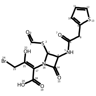 O=CSC1C(NC(=O)Cc2cccs2)C(=O)N1C(C(=O)O)=C(O)CBr